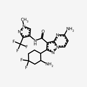 Cn1cc(NC(=O)c2c(C3CCC(F)(F)CC3N)nn3ccc(N)nc23)c(C(F)(F)F)n1